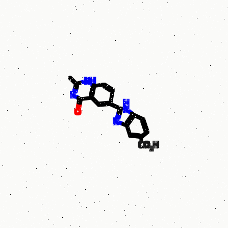 Cc1nc(=O)c2cc(-c3nc4cc(C(=O)O)ccc4[nH]3)ccc2[nH]1